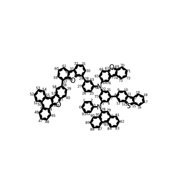 c1ccc(N(c2cc(-c3ccc4c(c3)sc3ccccc34)cc(N(c3cccc(-c4cccc5c4oc4c(-c6ccc7oc8c9ccccc9c9ccccc9c8c7c6)cccc45)c3)c3ccc4oc5ccccc5c4c3)c2)c2cc3ccccc3c3ccccc23)cc1